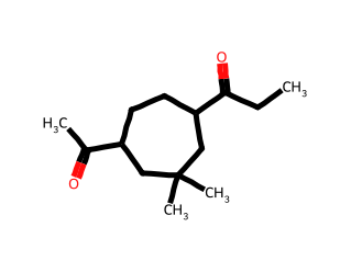 CCC(=O)C1CCC(C(C)=O)CC(C)(C)C1